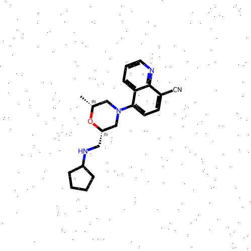 C[C@@H]1CN(c2ccc(C#N)c3ncccc23)C[C@H](CNC2CCCC2)O1